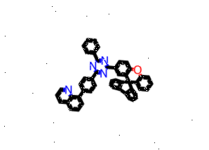 c1ccc(-c2nc(-c3ccc(-c4cccc5cccnc45)cc3)nc(-c3ccc4c(c3)C3(c5ccccc5O4)c4ccccc4-c4ccccc43)n2)cc1